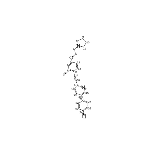 Fc1cc(OCCN2CCCC2)ccc1C#Cc1ccc(-c2ccc(Cl)cc2)cn1